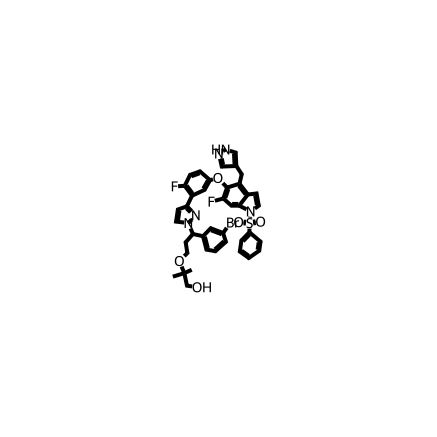 CC(C)(CO)OCCC(c1cccc(Br)c1)n1ccc(-c2cc(Oc3c(F)cc4c(ccn4S(=O)(=O)c4ccccc4)c3Cc3cn[nH]c3)ccc2F)n1